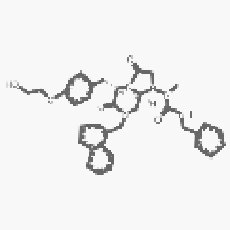 CN(C(=O)NCc1ccccc1)N1CC(=O)N2[C@@H](Cc3ccc(OCCO)cc3)C(=O)N(Cc3cccc4ccccc34)C[C@@H]21